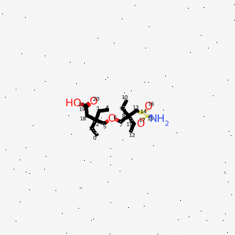 CCC(CC)(COCC(CC)(CC)CS(N)(=O)=O)CC(=O)O